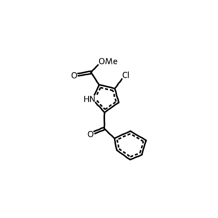 COC(=O)c1[nH]c(C(=O)c2ccccc2)cc1Cl